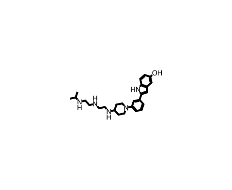 CC(C)NCCNCCNC1CCN(c2cccc(-c3cc4cc(O)ccc4[nH]3)c2)CC1